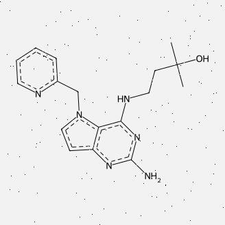 CC(C)(O)CCNc1nc(N)nc2ccn(Cc3ccccn3)c12